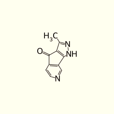 Cc1n[nH]c2c1C(=O)c1ccncc1-2